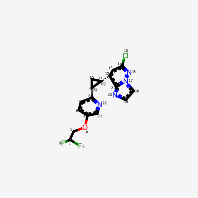 FC(F)COc1ccc([C@H]2C[C@@H]2c2cc(Cl)nn3ccnc23)nc1